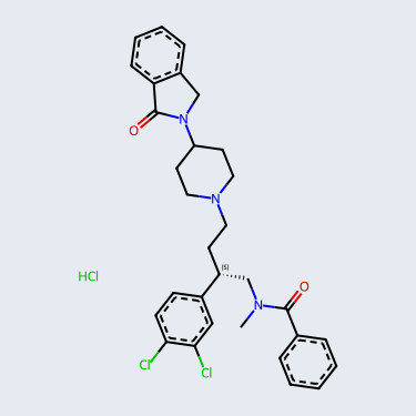 CN(C[C@@H](CCN1CCC(N2Cc3ccccc3C2=O)CC1)c1ccc(Cl)c(Cl)c1)C(=O)c1ccccc1.Cl